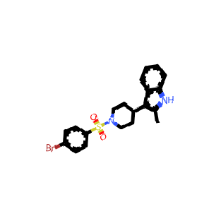 Cc1[nH]c2ccccc2c1C1CCN(S(=O)(=O)c2ccc(Br)cc2)CC1